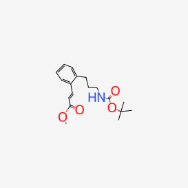 COC(=O)C=Cc1ccccc1CCCNC(=O)OC(C)(C)C